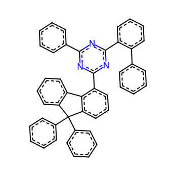 c1ccc(-c2nc(-c3ccccc3-c3ccccc3)nc(-c3cccc4c3-c3ccccc3C4(c3ccccc3)c3ccccc3)n2)cc1